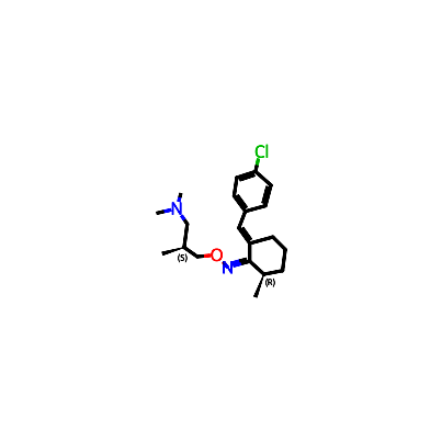 C[C@H](CON=C1C(=Cc2ccc(Cl)cc2)CCC[C@H]1C)CN(C)C